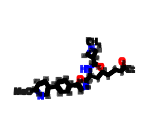 CCC(=O)CCCCC[C@H](NC(=O)C1CN(C)C1)c1ncc(-c2ccc(-c3ccc(OC)nc3)cc2)o1